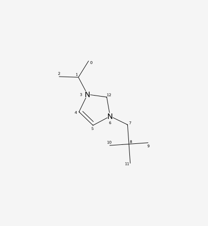 CC(C)N1C=CN(CC(C)(C)C)C1